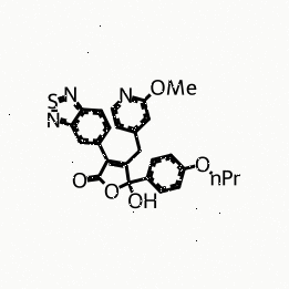 CCCOc1ccc(C2(O)OC(=O)C(c3ccc4nsnc4c3)=C2Cc2ccnc(OC)c2)cc1